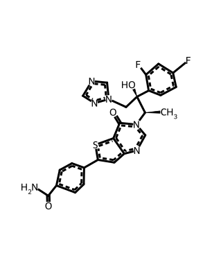 C[C@@H](n1cnc2cc(-c3ccc(C(N)=O)cc3)sc2c1=O)[C@](O)(Cn1cncn1)c1ccc(F)cc1F